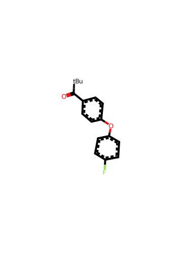 CC(C)(C)C(=O)c1ccc(Oc2ccc(F)cc2)cc1